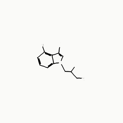 NCC(O)Cn1cc(Cl)c2c(N)cccc21